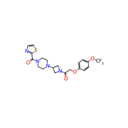 O=C(COc1ccc(OC(F)(F)F)cc1)N1CC(N2CCN(C(=O)c3nccs3)CC2)C1